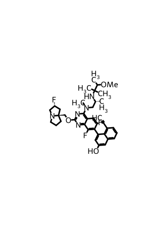 C#Cc1cccc2cc(O)cc(-c3c(F)cc4c(N(C)C[C@@H](C)NC(C)(C)C(C)OC)nc(OC[C@@]56CCCN5C[C@H](F)C6)nc4c3F)c12